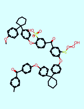 COc1ccc(C2(c3ccc(Oc4ccc(C(=O)c5ccc(Oc6ccc(C7(c8ccc(Oc9ccc(C(=O)c%10ccc(C)cc%10)cc9)cc8)CCCCC7)cc6)c(SOOO)c5)cc4S(=O)(=O)O)cc3)CCCCC2)cc1